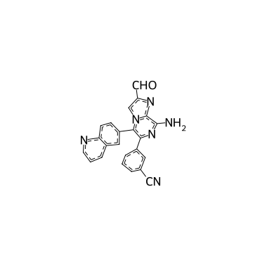 N#Cc1cccc(-c2nc(N)c3nc(C=O)cn3c2-c2ccc3ncccc3c2)c1